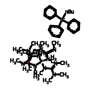 CCCC[B-](c1ccccc1)(c1ccccc1)c1ccccc1.CN=C(N(C)C)N(C)[P+](N(C)C(=NC)N(C)C)(N(C)C(=NC)N(C)C)N(C)C(=NC)N(C)C